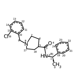 C[C@@H](NC(=O)C1CCN(Cc2ccccc2Cl)CC1)c1ccccc1